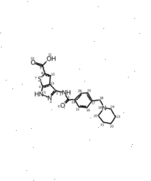 O=C(Nc1n[nH]c2sc(C(=O)O)cc12)c1ccc(CN2CCCCC2)cc1